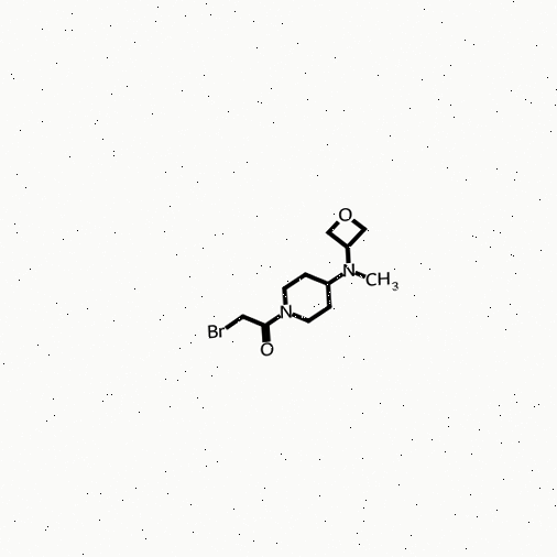 CN(C1CCN(C(=O)CBr)CC1)C1COC1